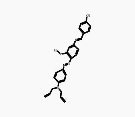 C=CCN(CC=C)c1ccc(N=Nc2ccc(N=Cc3ccc(C#N)cc3)cc2OCC)cc1